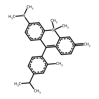 C=c1ccc2c(c1)[Si](C)(C)c1cc(N(C)C)ccc1C=2c1ccc(C(C)C)cc1C